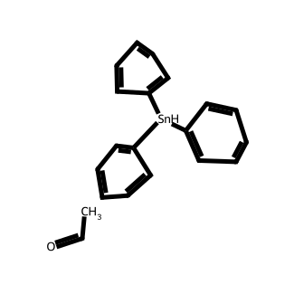 CC=O.c1cc[c]([SnH]([c]2ccccc2)[c]2ccccc2)cc1